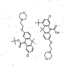 CC(C)(C)OC(=O)N1c2cc(Cl)ccc2C(C)(C)c2ccc(OCCN3CCOCC3)cc21.CC(C)(C)c1cc(Cl)cc2c1C(C)(C)c1ccc(OCCN3CCOCC3)cc1N2C(=O)O